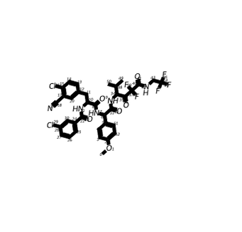 COc1ccc(C(NC(=O)C(Cc2ccc(Cl)c(C#N)c2)NC(=O)c2cccc(Cl)c2)C(=O)NC(C(=O)C(F)(F)C(=O)NCC(F)(F)F)C(C)C)cc1